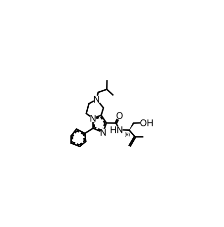 C=C(C)[C@H](CO)NC(=O)c1nc(-c2ccccc2)n2c1CN(CC(C)C)CC2